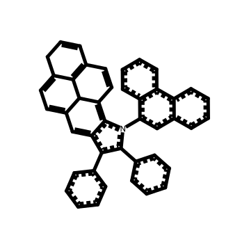 C1=CC2=C3C(=CC=C4C=c5c(-c6ccccc6)c(-c6ccccc6)n(-c6cc7ccccc7c7ccccc67)c5=C(C=C2)C43)C1